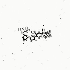 CC(C)Cc1cc(-c2nc(-c3ccc(NS(=O)(=O)C(F)(F)C(F)(F)F)cc3Cl)cs2)ccn1